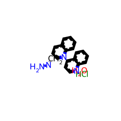 C=NN.Cl.O.c1ccc2ncccc2c1.c1ccc2ncccc2c1